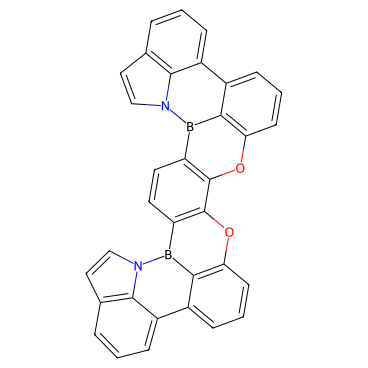 c1cc2c3c(c1)-c1cccc4ccn(c14)B3c1ccc3c(c1O2)Oc1cccc2c1B3n1ccc3cccc-2c31